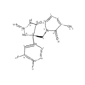 Cc1cccn(C[C@@]2(c3ccc(F)c(F)c3)NC(=O)NC2=O)c1=O